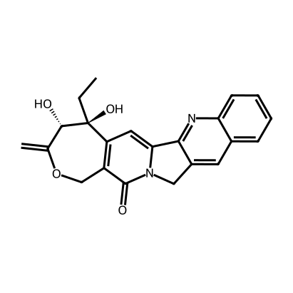 C=C1OCc2c(cc3n(c2=O)Cc2cc4ccccc4nc2-3)[C@@](O)(CC)[C@H]1O